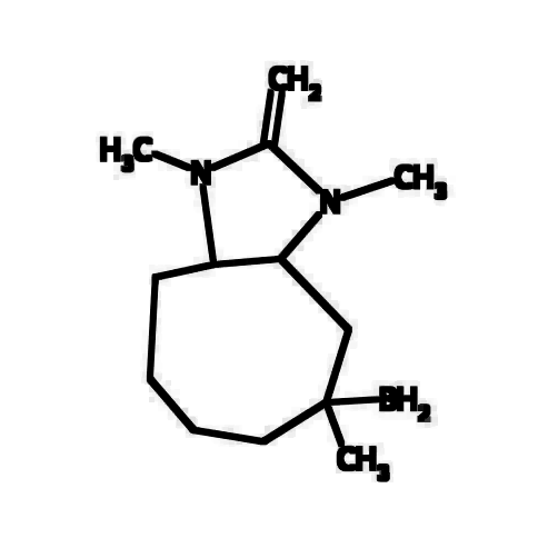 BC1(C)CCCCC2C(C1)N(C)C(=C)N2C